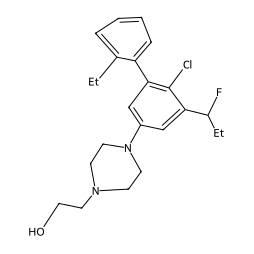 CCc1ccccc1-c1cc(N2CCN(CCO)CC2)cc(C(F)CC)c1Cl